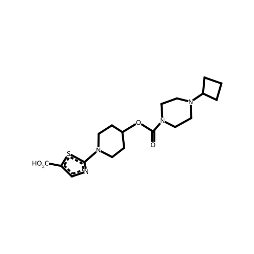 O=C(O)c1cnc(N2CCC(OC(=O)N3CCN(C4CCC4)CC3)CC2)s1